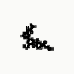 Cc1cc(-c2cc(NC(=O)C3CC3)ncn2)ccc1O[C@H]1CCN(C(=O)CCO)CC1(F)F